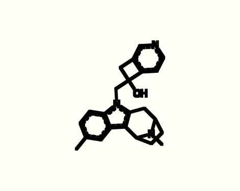 Cc1ccc2c(c1)c1c(n2CC2(O)Cc3cnccc32)CC2CCC1N2C